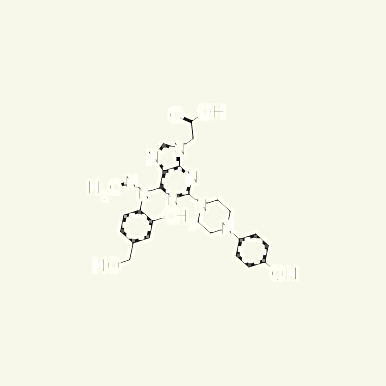 C=NN(c1ccc(CO)cc1C)c1nc(N2CCN(c3ccc(O)cc3)CC2)nc2c1ncn2CC(=O)O